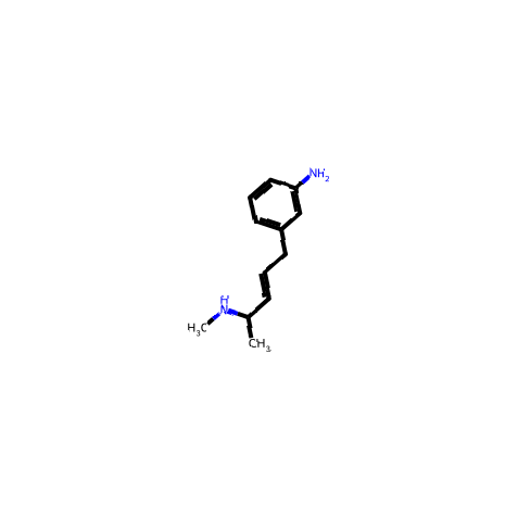 CNC(C)C=CCc1cccc(N)c1